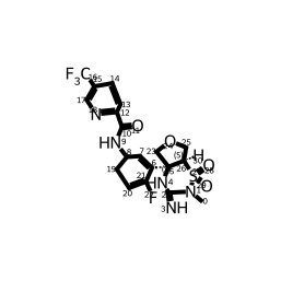 CN1C(=N)N[C@@]2(C3=CC(NC(=O)c4ccc(C(F)(F)F)cn4)CC=C3F)COC[C@H]2S1(=O)=O